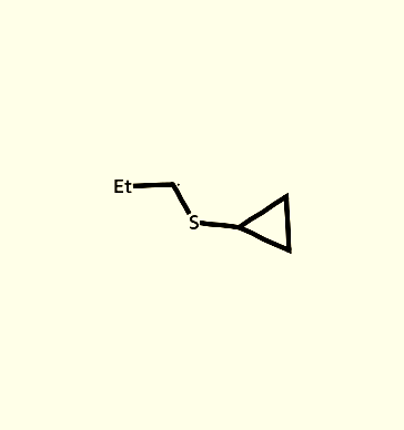 CC[CH]SC1CC1